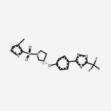 Cc1ccsc1S(=O)(=O)N1CC[C@H](Oc2ccc(-c3noc(C(F)(F)F)n3)cc2)C1